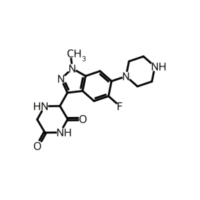 Cn1nc(C2NCC(=O)NC2=O)c2cc(F)c(N3CCNCC3)cc21